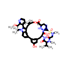 CCn1c(-c2cccnc2[C@H](C)OC)c2c3cc(ccc31)-c1cc(O)cc(c1)C[C@H](NC(=O)C(C(C)C)N(C)C(=O)CN(C)S(=O)(=O)[C@@H]1CN1)C(=O)N1CCC[C@H](N1)C(=O)OCC(C)(C)C2